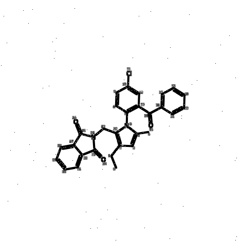 CCc1cc(C)n(-c2ccc(Cl)cc2C(=O)c2ccccc2)c1CN1C(=O)c2ccccc2C1=O